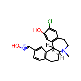 CN1CCc2cc(Cl)c(O)cc2[C@H]2c3cc(/C=N/O)ccc3CC[C@@H]21